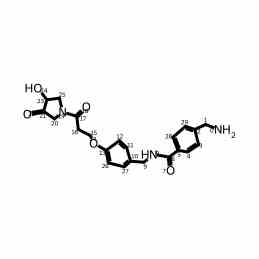 NCc1ccc(C(=O)NCc2ccc(OCCC(=O)N3CC(=O)C(O)C3)cc2)cc1